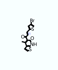 Cc1c(C(=O)/C=C/c2cc(Br)cs2)c(=O)[nH]c2sccc12